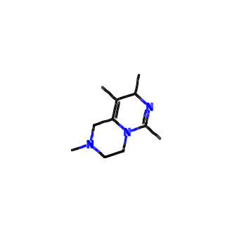 CC1=NC(C)C(C)=C2CN(C)CCN12